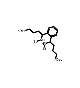 CCCCCCCCCCCCCC(NCC)c1ccccc1C(CCCCCCCCCCCCC)NCC